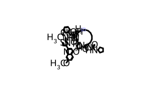 COc1ccc2c(O[C@@H]3C[C@H]4C(=O)N[C@]5(P(=O)(O)Cc6ccccc6)C[C@H]5/C=C\CCCCC[C@H](NC(=O)NC5CCCC5)C(=O)N4C3)cc(-c3csc(NC(C)C)n3)nc2c1